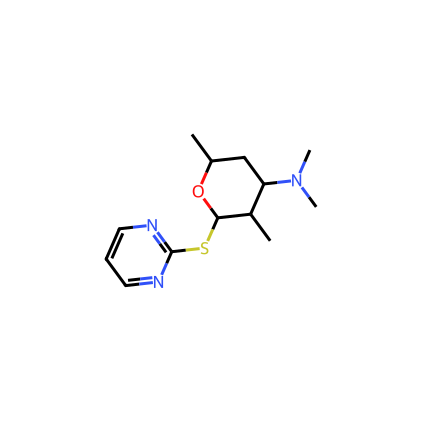 CC1CC(N(C)C)C(C)C(Sc2ncccn2)O1